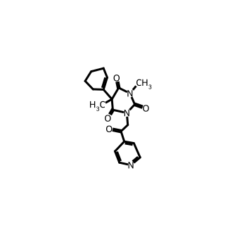 CN1C(=O)N(CC(=O)c2ccncc2)C(=O)C(C)(C2=CCCCC2)C1=O